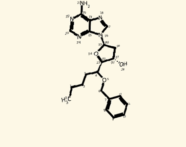 CCCCC(OCc1ccccc1)[C@H]1O[C@@H](n2cnc3c(N)ncnc32)C[C@@H]1O